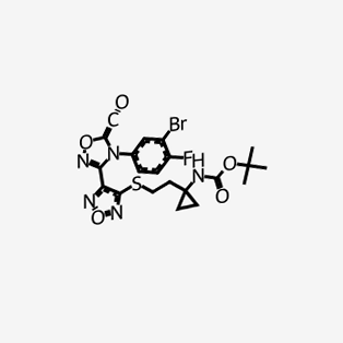 CC(C)(C)OC(=O)NC1(CCSc2nonc2C2=NOC(=C=O)N2c2ccc(F)c(Br)c2)CC1